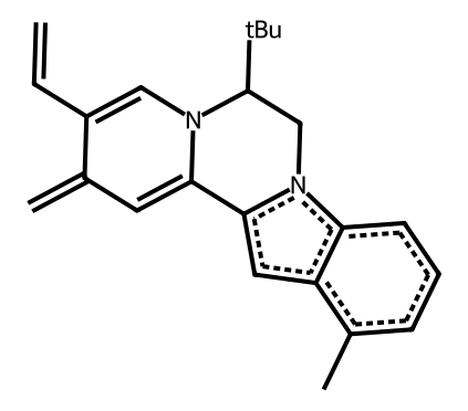 C=CC1=CN2C(=CC1=C)c1cc3c(C)cccc3n1CC2C(C)(C)C